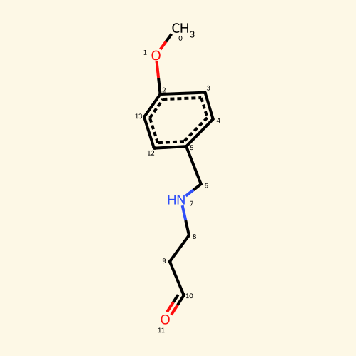 COc1ccc(CNCCC=O)cc1